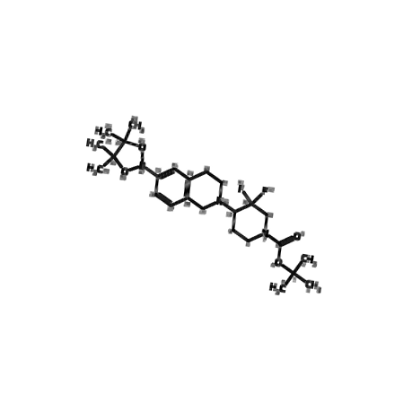 CC(C)(C)OC(=O)N1CCC(N2CCc3cc(B4OC(C)(C)C(C)(C)O4)ccc3C2)C(F)(F)C1